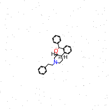 c1ccc(CCN2CC[C@@H]3c4ccccc4C(c4ccccc4)O[C@H]3C2)cc1